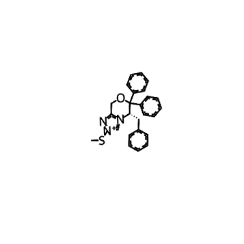 CS[n+]1cn2c(n1)COC(c1ccccc1)(c1ccccc1)[C@@H]2Cc1ccccc1